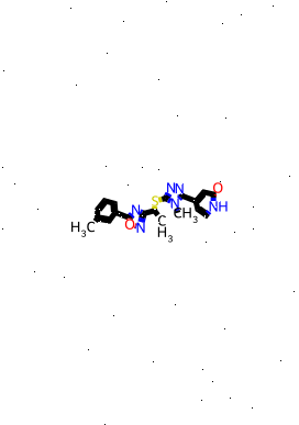 Cc1cccc(-c2nc(C(C)Sc3nnc(-c4cc[nH]c(=O)c4)n3C)no2)c1